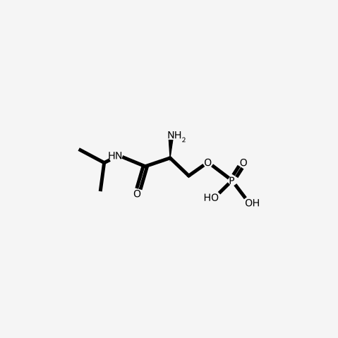 CC(C)NC(=O)[C@@H](N)COP(=O)(O)O